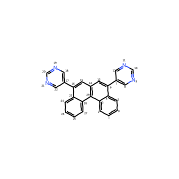 c1ccc2c(c1)c(-c1cncnc1)cc1cc(-c3cncnc3)c3ccccc3c12